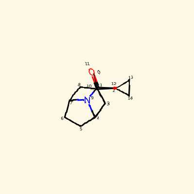 CC1(C)CC2CCC(C1)N2C(=O)C1CC1